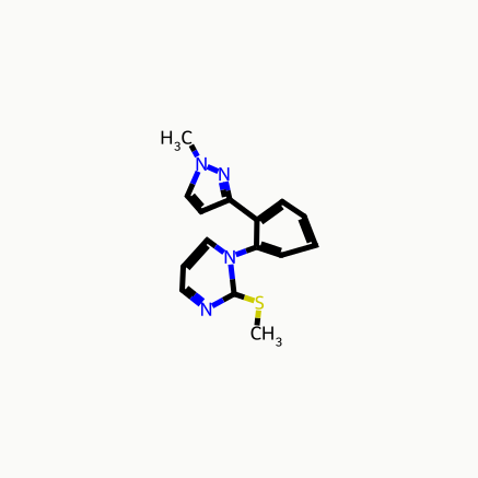 CSC1N=CC=CN1c1ccccc1-c1ccn(C)n1